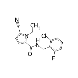 CCn1c(C#N)ccc1C(=O)NCc1c(F)cccc1Cl